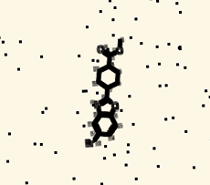 COC(=O)C1CCC(c2nc3cc(Br)ccc3o2)CC1